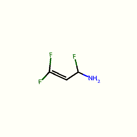 NC(F)C=C(F)F